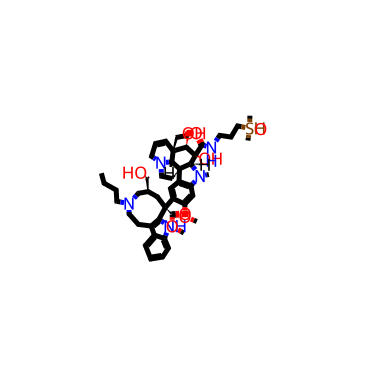 CCCCN1CCc2c([nH]c3ccccc23)[C@](C(=O)OC)(c2cc3c(cc2OC)N(C)[C@@H]2[C@](O)(C(=O)NCCC[SH](C)(C)=O)[C@@H](O)[C@@]4(CC)C=CCN5CC[C@@]32[C@H]54)C[C@H](CO)C1